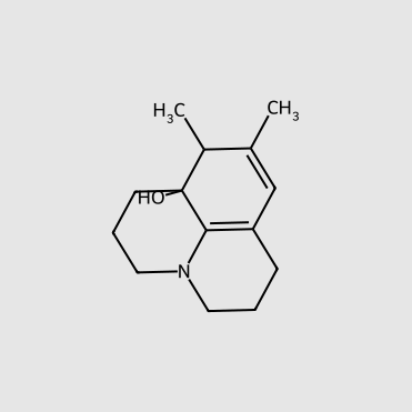 CC1=CC2=C3N(CCC2)CCCC3(O)C1C